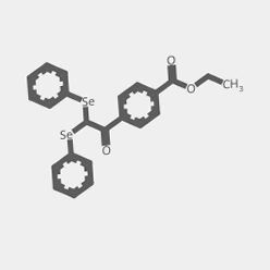 CCOC(=O)c1ccc(C(=O)C([Se]c2ccccc2)[Se]c2ccccc2)cc1